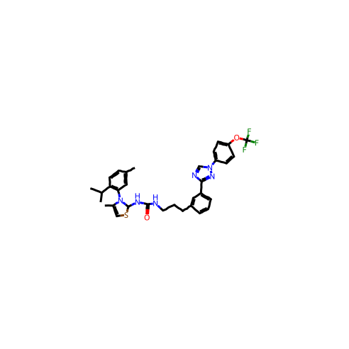 CC1=CSC(NC(=O)NCCCc2cccc(-c3ncn(-c4ccc(OC(F)(F)F)cc4)n3)c2)N1c1cc(C)ccc1C(C)C